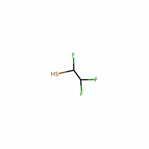 FC(F)C(F)S